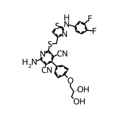 N#Cc1c(N)nc(SCc2csc(Nc3ccc(F)c(F)c3)n2)c(C#N)c1-c1ccc(OC[C@H](O)CO)cc1